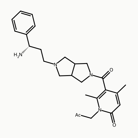 CC(=O)Cn1c(C)c(C(=O)N2CC3CN(CC[C@H](N)c4ccccc4)CC3C2)c(C)cc1=O